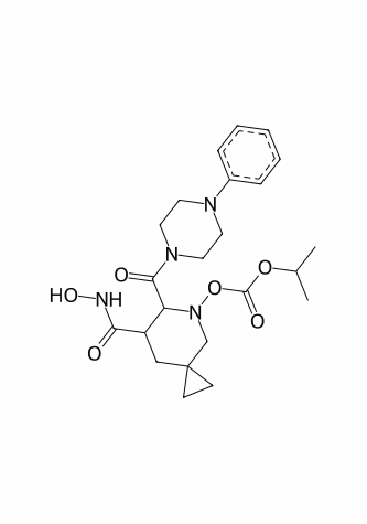 CC(C)OC(=O)ON1CC2(CC2)CC(C(=O)NO)C1C(=O)N1CCN(c2ccccc2)CC1